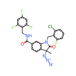 CC1(N=[N+]=[N-])C(=O)N(Cc2c(F)cccc2Cl)c2cc(C(=O)NCc3c(F)cc(F)cc3F)ccc21